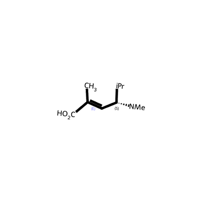 CN[C@H](/C=C(\C)C(=O)O)C(C)C